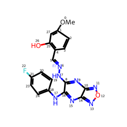 COc1ccc(/C=N/Nc2nc3nonc3nc2Nc2ccc(F)cc2)c(O)c1